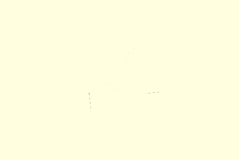 CCO[Si](F)(OCC)OCC(F)F